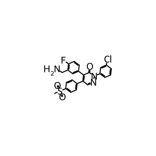 CS(=O)(=O)c1ccc(-c2cnn(-c3cccc(Cl)c3)c(=O)c2-c2ccc(F)c(CN)c2)cc1